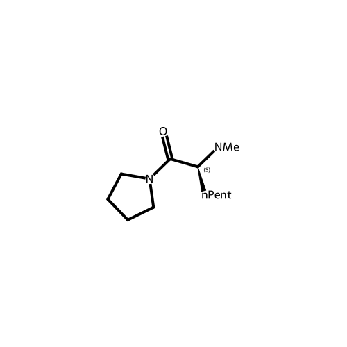 CCCCC[C@H](NC)C(=O)N1CCCC1